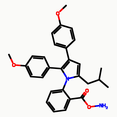 COc1ccc(-c2cc(CC(C)C)n(-c3ccccc3C(=O)ON)c2-c2ccc(OC)cc2)cc1